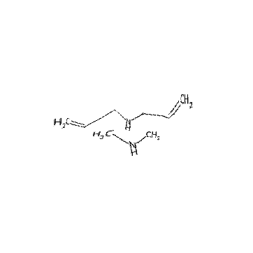 C=CCNCC=C.CNC